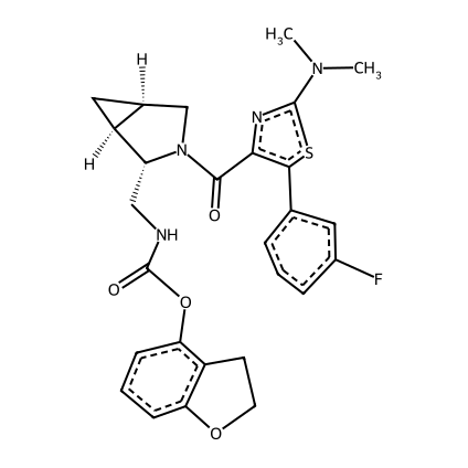 CN(C)c1nc(C(=O)N2C[C@@H]3C[C@@H]3[C@H]2CNC(=O)Oc2cccc3c2CCO3)c(-c2cccc(F)c2)s1